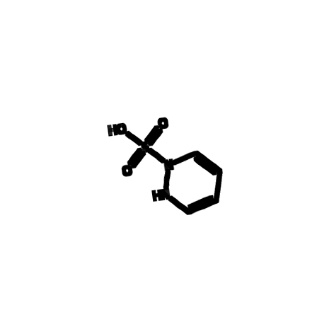 O=S(=O)(O)N1C=CC=CN1